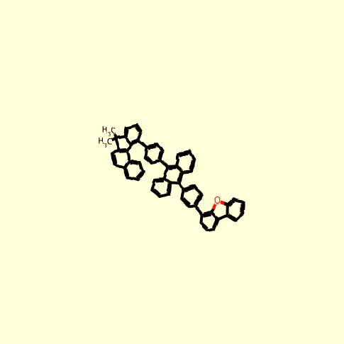 CC1(C)c2cccc(-c3ccc(-c4c5ccccc5c(-c5ccc(-c6cccc7c6oc6ccccc67)cc5)c5ccccc45)cc3)c2-c2c1ccc1ccccc21